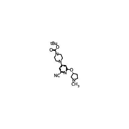 CN1CC[C@@H](Oc2cc(N3CCN(C(=O)OC(C)(C)C)CC3)cc(C#N)n2)C1